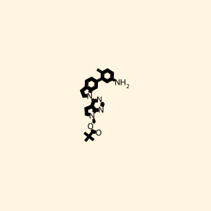 Cc1ccc(N)cc1-c1ccc2ccn(-c3ncnc4c3ccn4COC(=O)C(C)(C)C)c2c1